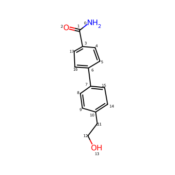 NC(=O)c1ccc(-c2ccc([CH]CO)cc2)cc1